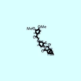 COc1ccc(C(=O)COc2ccc(N3C(=O)C4C5C=CC(C6CC56)C4C3=O)c(F)c2)cc1OC